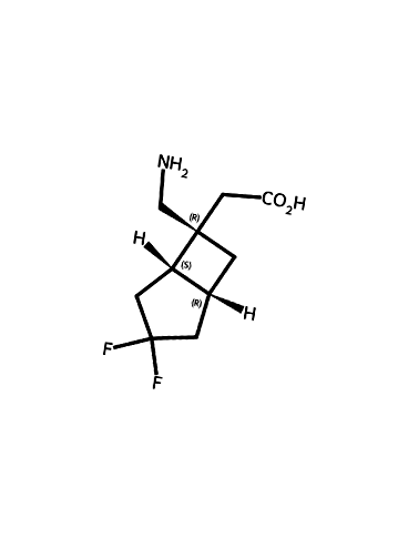 NC[C@@]1(CC(=O)O)C[C@@H]2CC(F)(F)C[C@@H]21